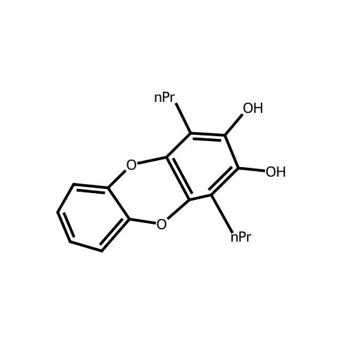 CCCc1c(O)c(O)c(CCC)c2c1Oc1ccccc1O2